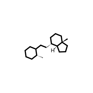 C[C@@H]1CCCCC1CC[C@@H]1CCC[C@]2(C)CCC[C@@H]12